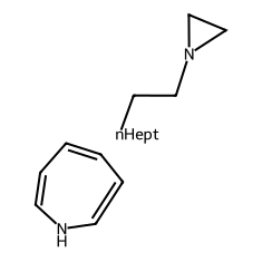 C1=CC=CNC=C1.CCCCCCCCCN1CC1